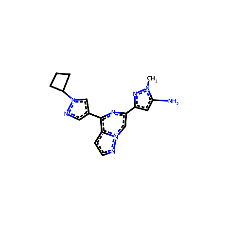 Cn1nc(-c2cn3nccc3c(-c3cnn(C4CCC4)c3)n2)cc1N